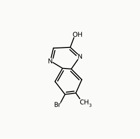 Cc1cc2nc(O)cnc2cc1Br